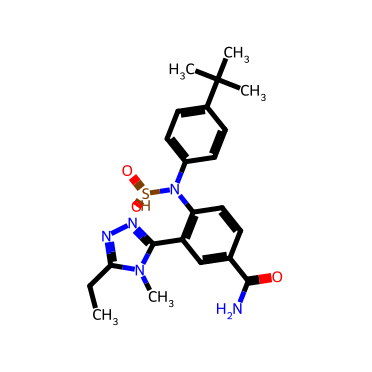 CCc1nnc(-c2cc(C(N)=O)ccc2N(c2ccc(C(C)(C)C)cc2)[SH](=O)=O)n1C